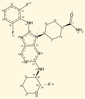 NC(=O)[C@H]1CC[C@@H](n2c(Nc3c(F)cccc3F)nc3cnc(N[C@@H]4CCCO[C@H]4F)nc32)CC1